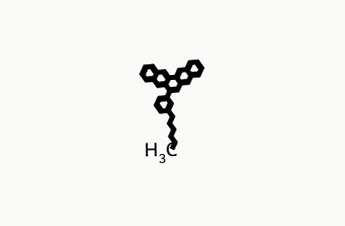 CCCCCCc1cccc(-c2cc3cc4ccccc4cc3c3cc4ccccc4cc23)c1